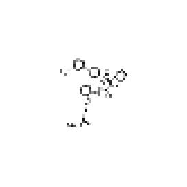 COC(=O)CCCOc1ccccc1CNC(=O)[C@@H]1Cc2ccccc2N1S(=O)(=O)c1ccc(-c2cccc(C(F)(F)F)c2)cc1